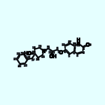 O=c1ccc2cc(OC[C@@H](O)CN3CCC(O)(Cc4ccccc4)CC3)ccc2[nH]1